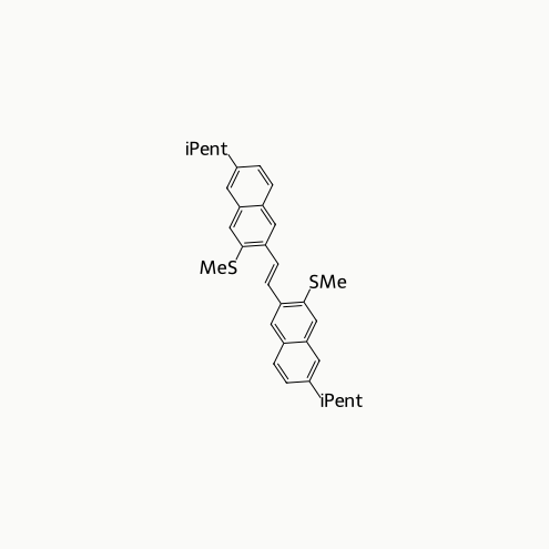 CCCC(C)c1ccc2cc(C=Cc3cc4ccc(C(C)CCC)cc4cc3SC)c(SC)cc2c1